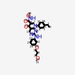 CCc1ccc(-n2cc(C(=O)NOC)c(=O)c3cnc(Nc4cccc(OCCCOC)c4)nc32)cc1